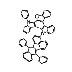 c1ccc(-c2c3c(c(-c4ccccc4)c4ccccc24)-c2ccc(-n4c5ccccc5c5c6c7ccccc7oc6c6c(c7ccccc7n6-c6ccccc6)c54)c4cccc-3c24)cc1